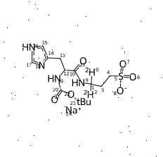 [2H]C([2H])(CCS(=O)(=O)[O-])NC(=O)C(Cc1c[nH]cn1)NC(=O)OC(C)(C)C.[Na+]